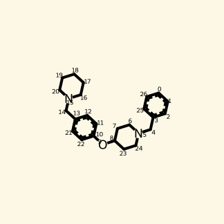 c1ccc(CN2CCC(Oc3ccc(CN4CCCCC4)cc3)CC2)cc1